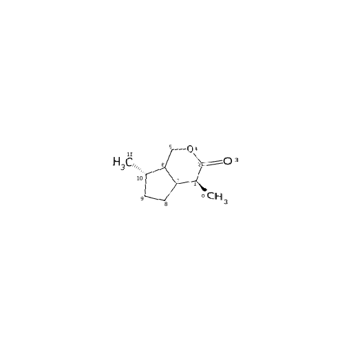 C[C@@H]1C(=O)OCC2C1CC[C@@H]2C